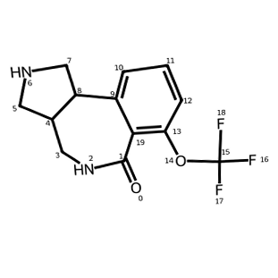 O=C1NCC2CNCC2c2cccc(OC(F)(F)F)c21